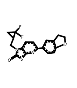 O=c1sc2nc(-c3ccc4c(c3)CCO4)ccc2n1CC1CC1(F)F